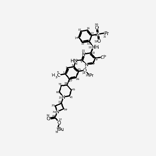 Cc1cc(Nc2ncc(Cl)c(Nc3ccccc3S(=O)(=O)C(C)C)n2)c(OC(C)C)cc1C1CCN(C2CN(C(=O)OC(C)(C)C)C2)CC1